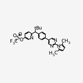 Cc1ccc(C)n1-c1ncc(-c2ccc(C(c3ccc(OS(=O)(=O)C(F)(F)F)cn3)C(C)(C)C)cc2)cn1